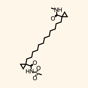 CNC(=O)C1(CCCCCCCCCCCCC2(C(=O)NS(C)(=O)=O)CC2)CC1